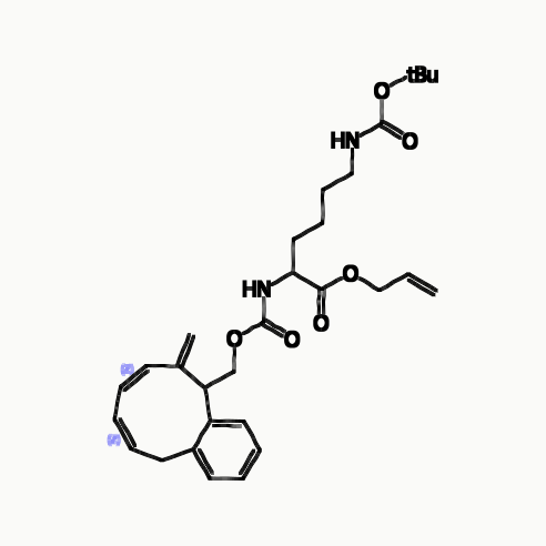 C=CCOC(=O)C(CCCCNC(=O)OC(C)(C)C)NC(=O)OCC1C(=C)/C=C\C=C/Cc2ccccc21